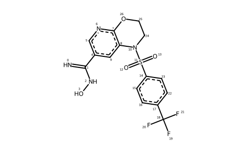 N=C(NO)c1cnc2c(c1)N(S(=O)(=O)c1ccc(C(F)(F)F)cc1)CCO2